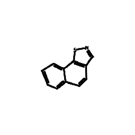 c1ccc2c(c1)ccc1cnsc12